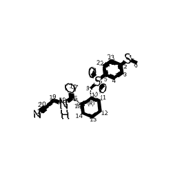 CSc1ccc(S(=O)(=O)C[C@@H]2CCCC[C@@H]2C(=O)NCC#N)cc1